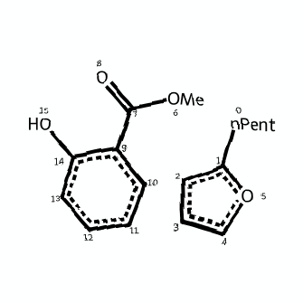 CCCCCc1ccco1.COC(=O)c1ccccc1O